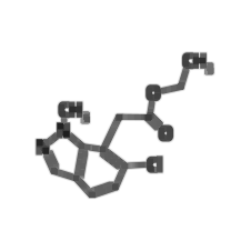 CCOC(=O)Cc1c(Cl)ccc2cnn(C)c12